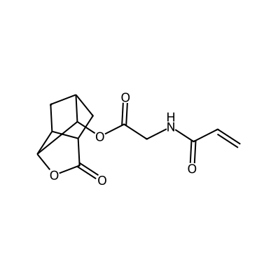 C=CC(=O)NCC(=O)OC1C2CC3C(=O)OC1C3C2